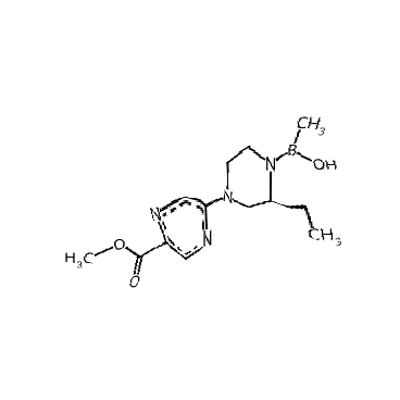 CC[C@H]1CN(c2cnc(C(=O)OC)cn2)CCN1B(C)O